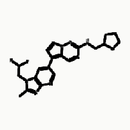 Cc1nc2ncc(-c3ccn4nc(NCC5CCCO5)ncc34)cc2n1CC(F)F